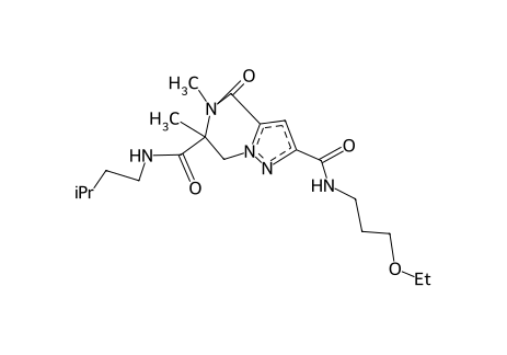 CCOCCCNC(=O)c1cc2n(n1)CC(C)(C(=O)NCCC(C)C)N(C)C2=O